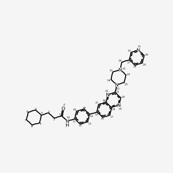 O=C(CCC1CCCCC1)Nc1ccc(-c2ccc3ncc(N4CCN(Cc5cccnc5)CC4)nc3c2)cc1